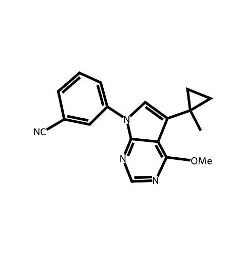 COc1ncnc2c1c(C1(C)CC1)cn2-c1cccc(C#N)c1